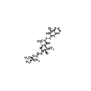 CC(CCc1cc2ccccc2c(=O)[nH]1)Nc1cnn(COCC[Si](C)(C)C)c(=O)c1C(F)(F)F